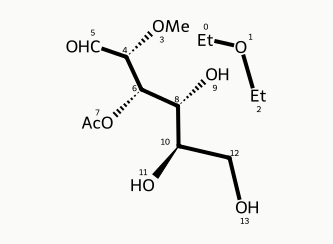 CCOCC.CO[C@@H](C=O)[C@@H](OC(C)=O)[C@H](O)[C@H](O)CO